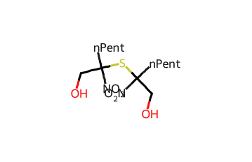 CCCCCC(CO)(SC(CO)(CCCCC)[N+](=O)[O-])[N+](=O)[O-]